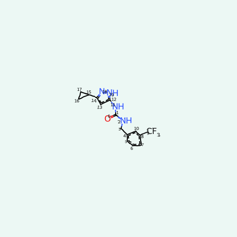 O=C(NCc1cccc(C(F)(F)F)c1)Nc1cc(C2CC2)n[nH]1